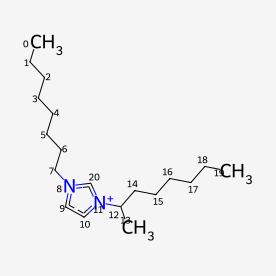 CCCCCCCCn1cc[n+](C(C)CCCCCC)c1